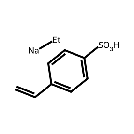 C=Cc1ccc(S(=O)(=O)O)cc1.C[CH2][Na]